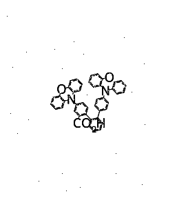 O=C(O)c1cc(N2c3ccccc3Oc3ccccc32)ccc1-c1ccccc1-c1ccc(N2c3ccccc3Oc3ccccc32)cc1